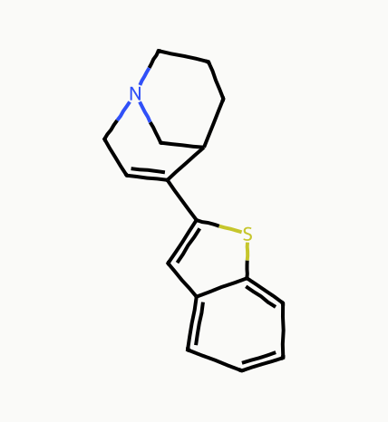 C1=C(c2cc3ccccc3s2)C2CCCN(C1)C2